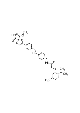 COC(=O)C1(C(=O)O)OC=C(c2ccc(CNc3ccc(CNC(=O)COC4CC(C)CCC4C(C)C)cc3)cc2)O1